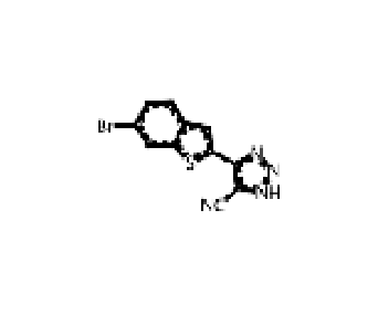 N#Cc1[nH]nnc1-c1cc2ccc(Br)cc2s1